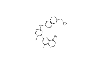 CC(C)N1CCOc2c(F)cc(-c3nc(Nc4ccc5c(c4)CCN(CC4CC4)C5)ncc3F)cc21